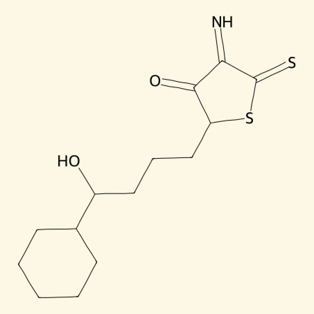 N=C1C(=O)C(CCCC(O)C2CCCCC2)SC1=S